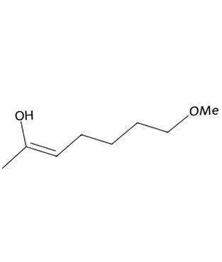 COCCCC/C=C(/C)O